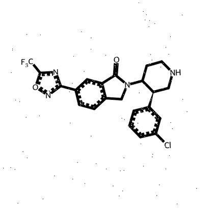 O=C1c2cc(-c3noc(C(F)(F)F)n3)ccc2CN1C1CCNC[C@H]1c1cccc(Cl)c1